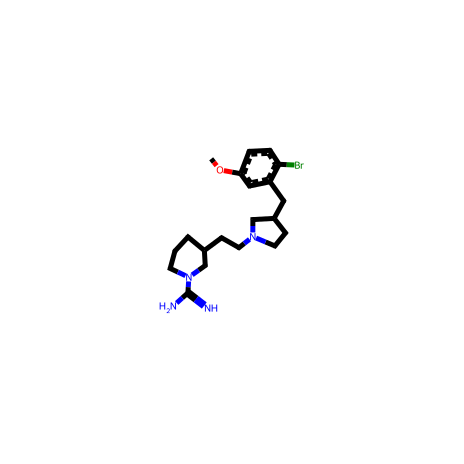 COc1ccc(Br)c(CC2CCN(CCC3CCCN(C(=N)N)C3)C2)c1